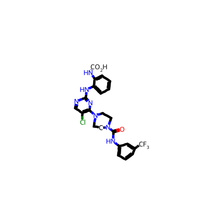 O=C(O)Nc1ccccc1Nc1ncc(Cl)c(N2CCN(C(=O)Nc3cccc(C(F)(F)F)c3)CC2)n1